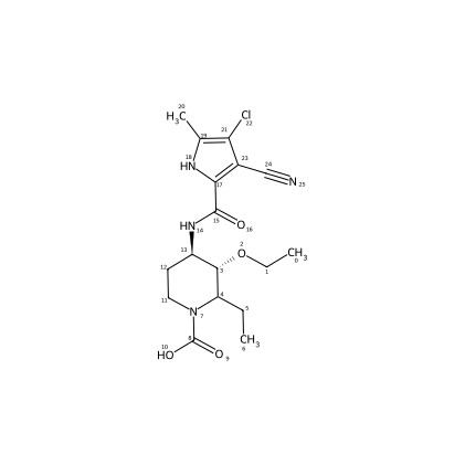 CCO[C@@H]1C(CC)N(C(=O)O)CC[C@H]1NC(=O)c1[nH]c(C)c(Cl)c1C#N